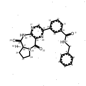 O=C(NCc1ccccc1)c1cccc(-c2cnc3c(n2)C(=O)N2CCC[C@H]2C(=O)N3)c1